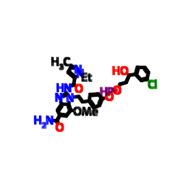 CCn1nc(C)cc1C(=O)Nc1nc2cc(C(N)=O)cc(OC)c2n1CCc1ccc(OPOCCC(O)c2cccc(Cl)c2)cc1